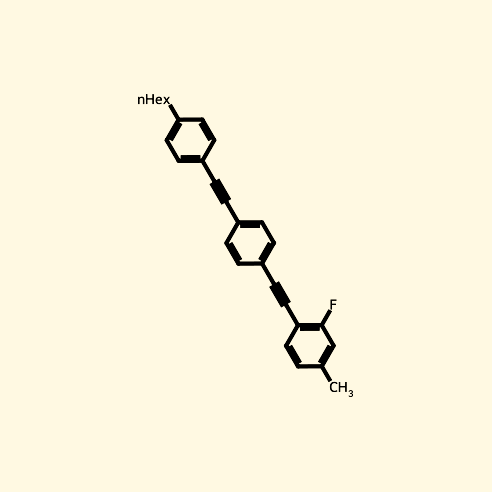 CCCCCCc1ccc(C#Cc2ccc(C#Cc3ccc(C)cc3F)cc2)cc1